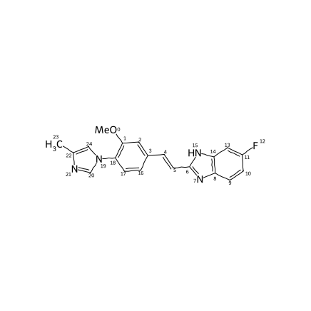 COc1cc(/C=C/c2nc3ccc(F)cc3[nH]2)ccc1-n1cnc(C)c1